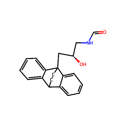 O=CNC[C@@H](O)CC12CCC(c3ccccc31)c1ccccc12